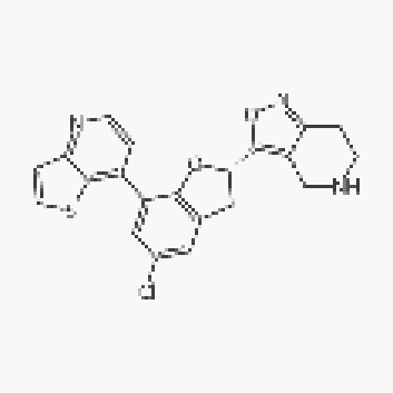 Clc1cc2c(c(-c3ccnc4ccsc34)c1)O[C@H](c1onc3c1CNCC3)C2